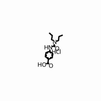 CCCN(CCC)C(=O)Nc1ccc(C(=O)O)cc1.Cl